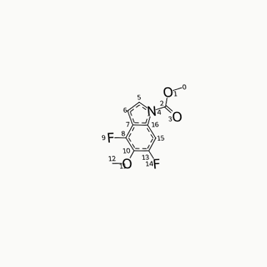 COC(=O)n1ccc2c(F)c(OC)c(F)cc21